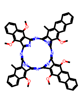 COc1c2c(c(OC)c3ccccc13)-c1nc-2nc2[nH]c(nc3nc(nc4[nH]c(n1)c1c(C)c5cc6ccccc6cc5c(OC)c41)-c1c-3c(OC)c3cc4ccccc4cc3c1OC)c1c(OC)c3ccccc3c(C)c21